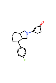 O=C1C=C(N2CC3CCCC(c4ccc(F)cc4)C3C2)CC1